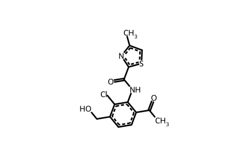 CC(=O)c1ccc(CO)c(Cl)c1NC(=O)c1nc(C)cs1